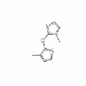 Cc1ccsc1Oc1sccc1C